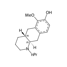 CCCN1CCC[C@@H]2Cc3c(ccc(O)c3OC)C[C@H]21